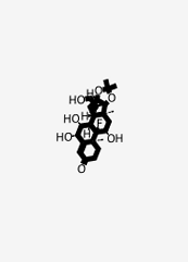 CC1(C)O[C@H]2C[C@H]3[C@@H]4[C@@H](O)[C@@H](O)C5=CC(=O)CC[C@]5(C)[C@@]4(F)[C@@H](O)C[C@]3(C)[C@@]2(C(=O)CO)O1